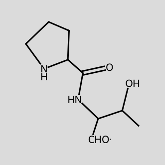 CC(O)C([C]=O)NC(=O)C1CCCN1